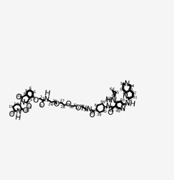 O=C(COc1cccc2c1C(=O)N(C1CCC(=O)NC1=O)C2=O)NCCOCCOCCOCCNC(=O)[C@H]1CC[C@H](NC(=O)c2cnc(Nc3ccc4cnccc4n3)cc2NC2CC2)CC1